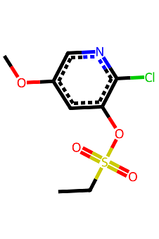 CCS(=O)(=O)Oc1cc(OC)cnc1Cl